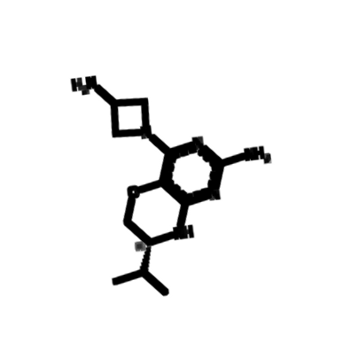 CC(C)[C@@H]1COc2c(nc(N)nc2N2CC(N)C2)N1